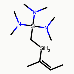 CC=C(C)[SiH2]C[Si](N(C)C)(N(C)C)N(C)C